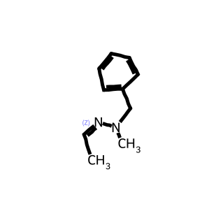 C/C=N\N(C)Cc1ccccc1